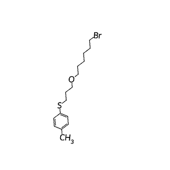 Cc1ccc(SCCCOCCCCCCBr)cc1